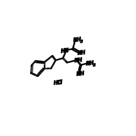 Cl.N=C(N)NCC(NC(=N)N)C1Cc2ccccc2C1